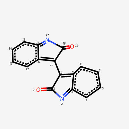 O=C1N=c2ccccc2=C1C1=c2ccccc2=NC1=O